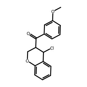 COc1cccc(C(=O)C2COc3ccccc3C2Cl)c1